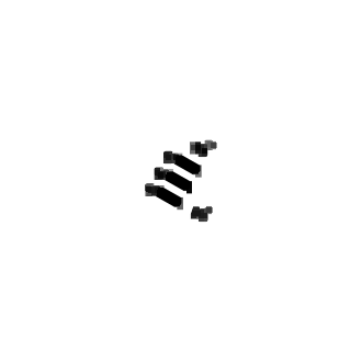 [Ag+].[Hg+2].[Se-]I.[Se-]I.[Se-]I